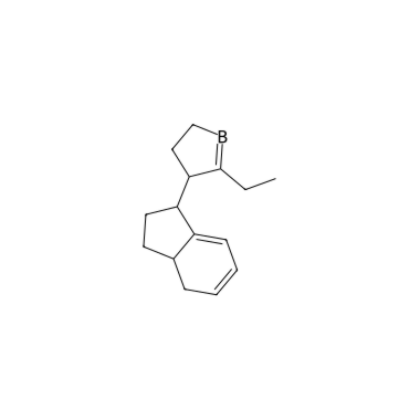 CCC1=BCCC1C1CCC2CC=CC=C21